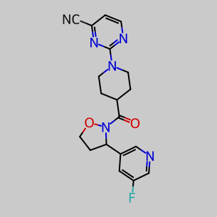 N#Cc1ccnc(N2CCC(C(=O)N3OCCC3c3cncc(F)c3)CC2)n1